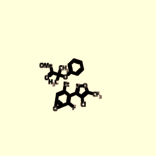 CCc1cc2c(c(F)c1-c1noc(C(F)(F)F)c1Cl)O2.COC(=O)C(C)(C)Oc1ccccc1